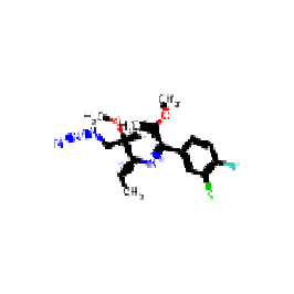 C=C(OC)/C(=N\C(=C/C)C(C)(CN=[N+]=[N-])OC)c1ccc(F)c(Cl)c1